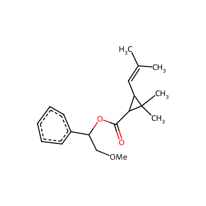 COCC(OC(=O)C1C(C=C(C)C)C1(C)C)c1ccccc1